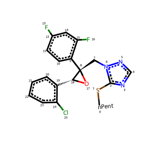 CCCCCSc1ncnn1C[C@@]1(c2ccc(F)cc2F)O[C@@H]1c1ccccc1Cl